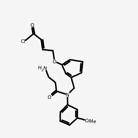 COc1cccc(N(Cc2cccc(OC/C=C/C(=O)Cl)c2)C(=O)CCN)c1